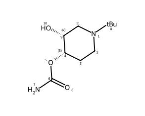 CC(C)(C)N1CC[C@H](OC(N)=O)[C@H](O)C1